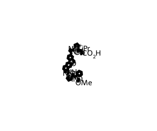 COC(=O)N[C@@H](C(=O)N1CCC[C@H]1c1nc2ccc3cc4c(cc3c2[nH]1)OCc1cc(-c2cnc([C@@H]3CC[C@H](C)N3C(=O)[C@H](C(C)C)N(C)C(=O)O)[nH]2)ccc1-4)c1ccccc1